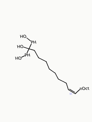 CCCCCCCC/C=C\CCCCCCCC(O)(PO)PO